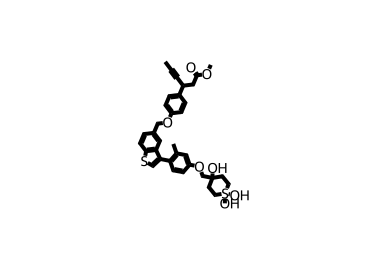 CC#CC(CC(=O)OC)c1ccc(OCc2ccc3scc(-c4ccc(OCC5(O)CCS(O)(O)CC5)cc4C)c3c2)cc1